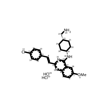 COc1ccc2nc(C=Cc3ccc(Cl)cc3)nc(N[C@H]3CC[C@@H](CN)CC3)c2c1.Cl.Cl